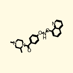 CC1CN(C)CCN1C(=O)c1ccc(ONOc2cccc3cccnc23)cc1